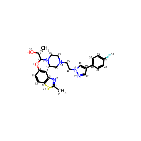 Cc1nc2cc(OC([C@@H](C)O)N3CCN(CCn4cc(-c5ccc(F)cc5)cn4)CC3)ccc2s1